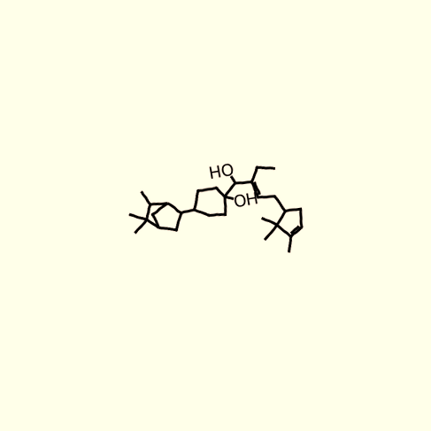 CCC(=CCC1CC=C(C)C1(C)C)C(O)C1(O)CCC(C2CC3CC2C(C)C3(C)C)CC1